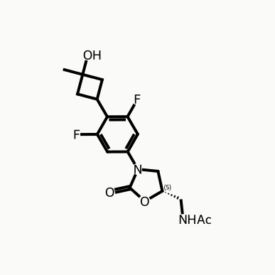 CC(=O)NC[C@H]1CN(c2cc(F)c(C3CC(C)(O)C3)c(F)c2)C(=O)O1